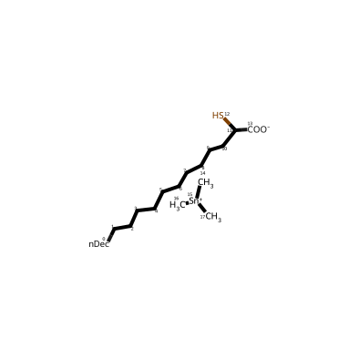 CCCCCCCCCCCCCCCCCCCCC(S)C(=O)[O-].[CH3][Sn+]([CH3])[CH3]